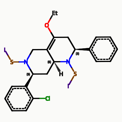 CCOC1=C2CN(SI)[C@H](c3ccccc3Cl)C[C@@H]2N(SI)[C@H](c2ccccc2)C1